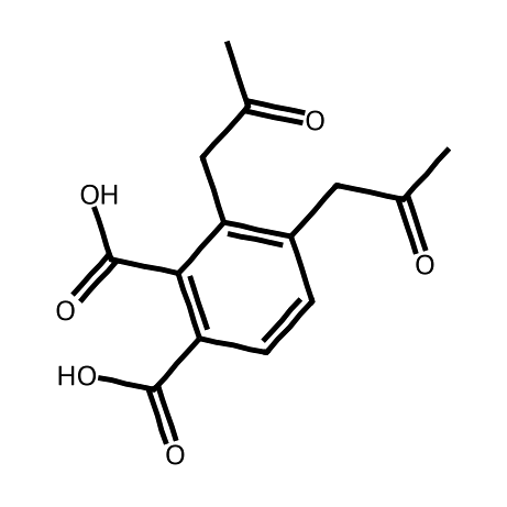 CC(=O)Cc1ccc(C(=O)O)c(C(=O)O)c1CC(C)=O